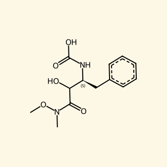 CON(C)C(=O)C(O)[C@H](Cc1ccccc1)NC(=O)O